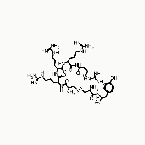 CC(=O)C(Cc1ccc(O)cc1)NC(=O)C(N)CSSC[C@@H](N)C(=O)N[C@@H](CCCNC(=N)N)C(=O)N[C@@H](CCCNC(=N)N)C(=O)N[C@@H](CCCNC(=N)N)C(=O)N[C@H](C)CCCNC(=N)N